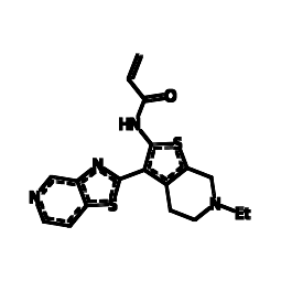 C=CC(=O)Nc1sc2c(c1-c1nc3cnccc3s1)CCN(CC)C2